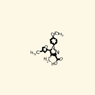 COc1ccc(-n2nc(C(=O)O)c(C)c2-c2cc(C)co2)cc1